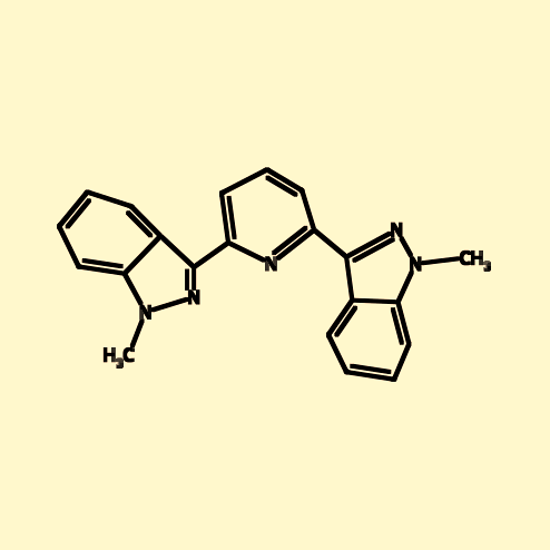 Cn1nc(-c2cccc(-c3nn(C)c4ccccc34)n2)c2ccccc21